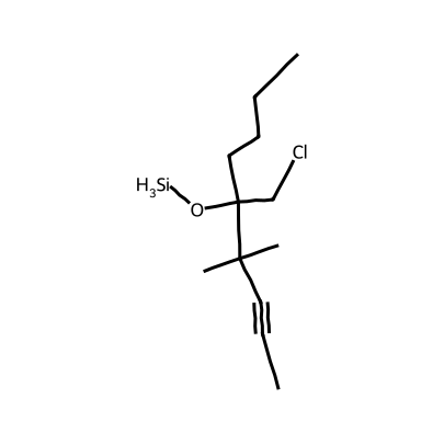 CC#CC(C)(C)C(CCl)(CCCC)O[SiH3]